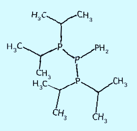 CC(C)P(C(C)C)P(P)P(C(C)C)C(C)C